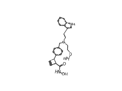 CCCOCCN(CCc1c[nH]c2ccccc12)Cc1ccc(C2C#CC2C(=O)NO)cc1